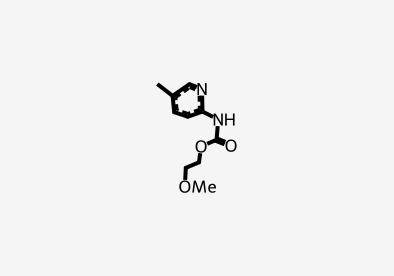 COCCOC(=O)Nc1ccc(C)cn1